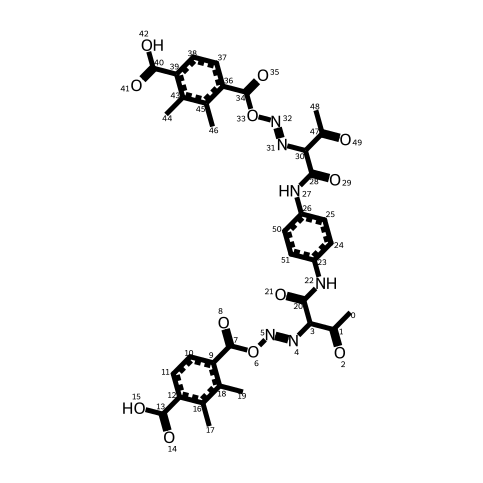 CC(=O)C(N=NOC(=O)c1ccc(C(=O)O)c(C)c1C)C(=O)Nc1ccc(NC(=O)C(N=NOC(=O)c2ccc(C(=O)O)c(C)c2C)C(C)=O)cc1